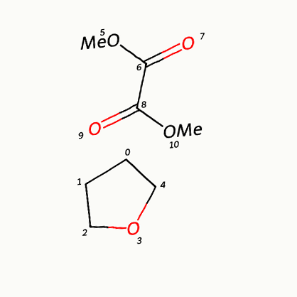 C1CCOC1.COC(=O)C(=O)OC